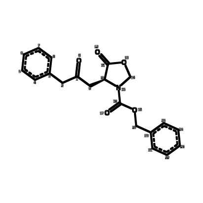 O=C(Cc1ccccc1)C[C@H]1C(=O)OCN1C(=O)OCc1ccccc1